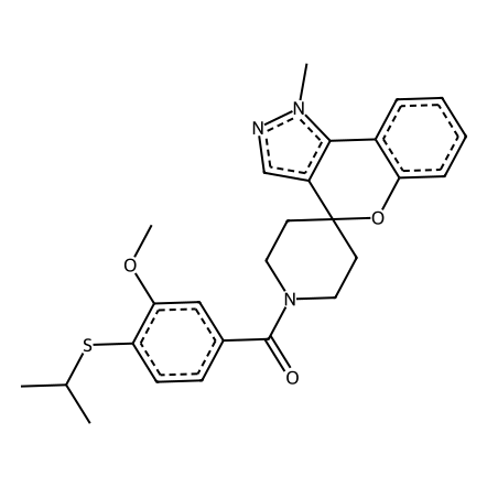 COc1cc(C(=O)N2CCC3(CC2)Oc2ccccc2-c2c3cnn2C)ccc1SC(C)C